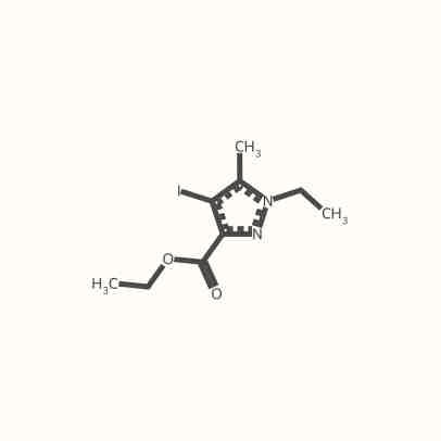 CCOC(=O)c1nn(CC)c(C)c1I